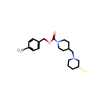 O=C(OCc1ccc([N+](=O)[O-])cc1)N1CCC(CN2CCC[C@@H](S)C2)CC1